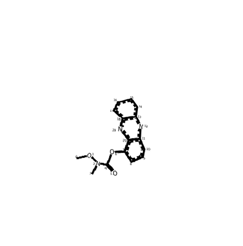 CON(C)C(=O)Oc1cccc2nc3ccccc3nc12